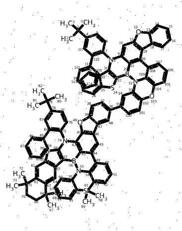 CC(C)(C)c1ccc(N2c3cc4oc5ccccc5c4c4c3B(c3sc5ccccc5c32)N2c3cc(-c5ccc6oc7c8c9c(cc7c6c5)-c5cccc6c5N(B9c5c(sc7cc9c(cc57)C(C)(C)CCC9(C)C)N8c5ccc(C(C)(C)C)cc5-c5ccccc5)c5ccccc5[Si]6(C)C)ccc3Oc3cccc-4c32)c(-c2ccccc2)c1